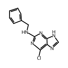 Clc1nc(NCc2ccccc2)nc2[nH]cnc12